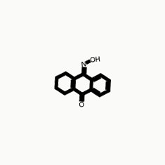 O=C1C2=C(CCCC2)C(=NO)c2ccccc21